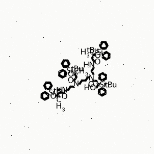 C[C@H](CC(=O)NCCCN(CCCCN(CCCNC(=O)C[C@@H](C)O[Si](c1ccccc1)(c1ccccc1)C(C)(C)C)C(=O)C[C@@H](C)O[Si](c1ccccc1)(c1ccccc1)C(C)(C)C)C(=O)C[C@H](CO)[Si](c1ccccc1)(c1ccccc1)C(C)(C)C)O[Si](c1ccccc1)(c1ccccc1)C(C)(C)C